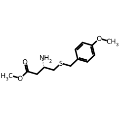 COC(=O)C[C@H](N)CSCc1ccc(OC)cc1